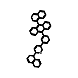 C1=CC2C(C3=CC(C4C=CC(C5CC=CC6=C5C=CCC6)NC4)=CCC3)=c3ccccc3=C(C3=c4ccccc4=CCC3)C2C=C1